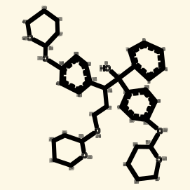 OC(c1ccccc1)(c1ccc(OC2CCCCO2)cc1)C(CCOC1CCCCO1)c1ccc(OC2CCCCO2)cc1